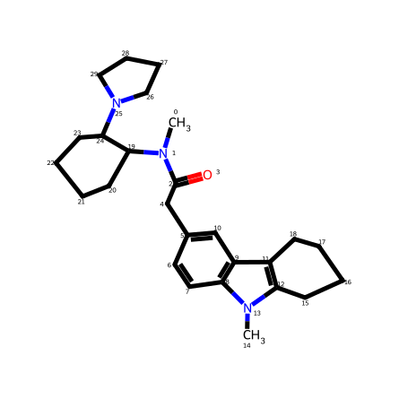 CN(C(=O)Cc1ccc2c(c1)c1c(n2C)CCCC1)C1CCCCC1N1CCCC1